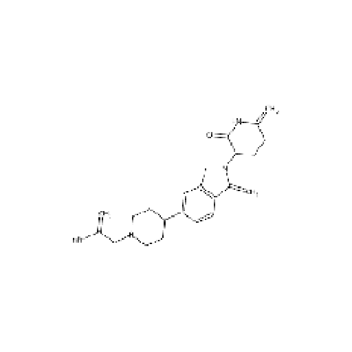 C=C(CCC)CN1CCC(c2ccc3c(c2)CN(C2CCC(=C)NC2=O)C3=C)CC1